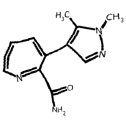 Cc1c(-c2cccnc2C(N)=O)cnn1C